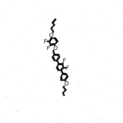 C=CCCCOc1ccc(OCc2ccc(-c3ccc(-c4ccc(OCCCC)cc4)c(F)c3F)cc2)c(F)c1F